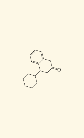 O=C1Cc2ccccc2C(C2CCCCC2)C1